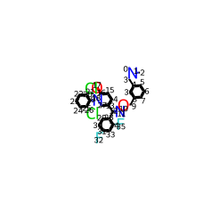 CN(C)Cc1cccc(CO/N=C(\c2ccc(=O)n(-c3c(Cl)cccc3Cl)c2)c2ccc(F)cc2F)c1